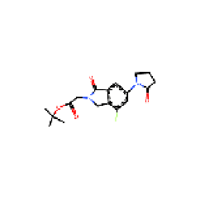 CC(C)(C)OC(=O)CN1Cc2c(F)cc(N3CCCC3=O)cc2C1=O